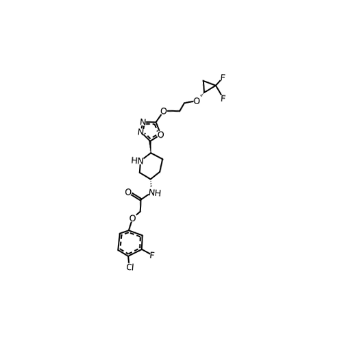 O=C(COc1ccc(Cl)c(F)c1)N[C@H]1CC[C@H](c2nnc(OCCO[C@@H]3CC3(F)F)o2)NC1